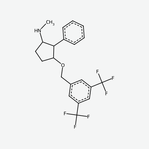 CNC1CCC(OCc2cc(C(F)(F)F)cc(C(F)(F)F)c2)C1c1ccccc1